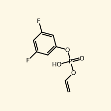 C=COP(=O)(O)Oc1cc(F)cc(F)c1